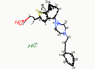 Cl.OCCc1cc2c(N3CCN(CCc4ccccc4)CC3)cccc2s1